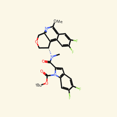 COc1nc2c(c3cc(F)c(F)cc13)[C@H](N(C)C(=O)c1cc3cc(F)c(F)cc3n1C(=O)OC(C)(C)C)COC2